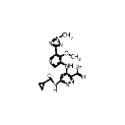 COc1c(Nc2cc(NC(=O)C3CC3)nnc2[C](=O)[Zn])cncc1-c1ncn(C)n1